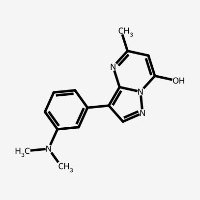 Cc1cc(O)n2ncc(-c3cccc(N(C)C)c3)c2n1